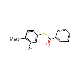 COc1ccc(SC(=O)c2ccccc2)cc1C(C)C